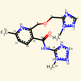 Cn1ncnc1COCc1nc(C(F)(F)F)ccc1C(=O)Nc1nnnn1C